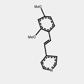 COc1ccc(C=Cc2ccncc2)c(OC)c1